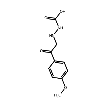 COc1ccc(C(=O)CNNC(=O)O)cc1